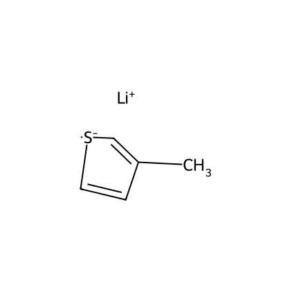 CC1=C[S-]C=C1.[Li+]